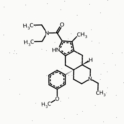 CCN1CC[C@@]2(c3cccc(OC)c3)Cc3[nH]c(C(=O)N(CC)CC)c(C)c3C[C@@H]2C1